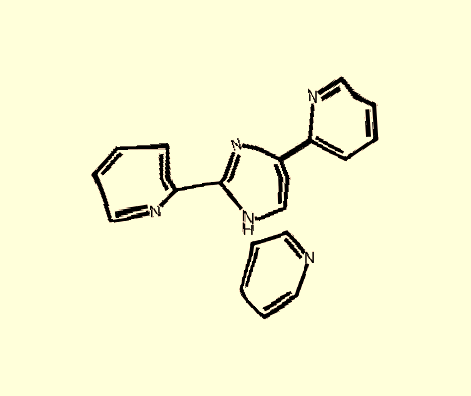 c1ccc(-c2c[nH]c(-c3ccccn3)n2)nc1.c1ccncc1